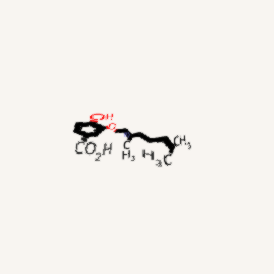 CC(C)=CCC/C(C)=C/COc1cc(C(=O)O)ccc1O